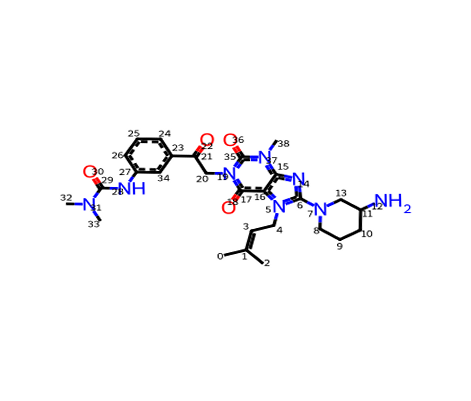 CC(C)=CCn1c(N2CCCC(N)C2)nc2c1c(=O)n(CC(=O)c1cccc(NC(=O)N(C)C)c1)c(=O)n2C